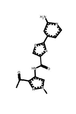 CC(=O)c1nn(C)cc1NC(=O)c1coc(-c2ccnc(N)c2)n1